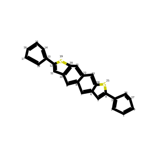 c1ccc(-c2cc3cc4cc5cc(-c6ccccc6)sc5cc4cc3s2)cc1